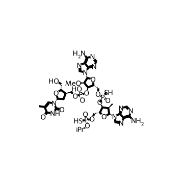 CO[C@@H]1[C@H](OP(=O)(O)OC[C@H]2C[C@H](n3cc(C)c(=O)[nH]c3=O)O[C@@H]2CO)[C@@H](COP(=O)(S)O[C@H]2[C@@H](C)[C@H](n3cnc4c(N)ncnc43)O[C@@H]2COP(=O)(S)OC(C)C)O[C@H]1n1cnc2c(N)ncnc21